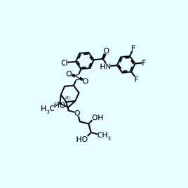 CC(O)C(O)COC[C@@]1(O)C2CC(S(=O)(=O)c3cc(C(=O)Nc4cc(F)c(F)c(F)c4)ccc3Cl)CC1[C@@H](C)C2